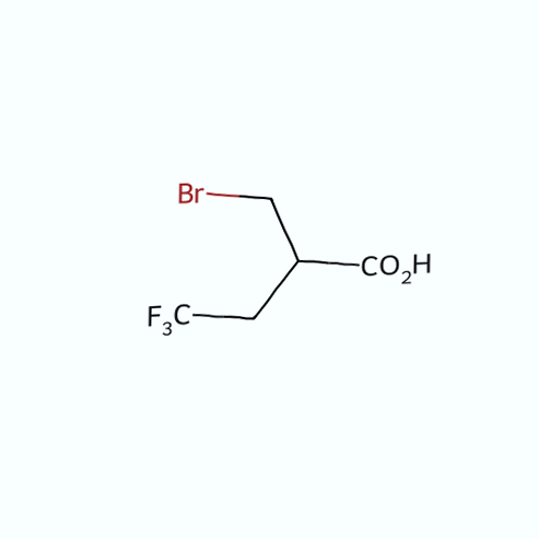 O=C(O)C(CBr)CC(F)(F)F